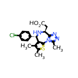 Cc1sc2c(c1C)[C@H](c1ccc(Cl)cc1)N[C@@H](CC(=O)O)c1nnc(C)n1-2